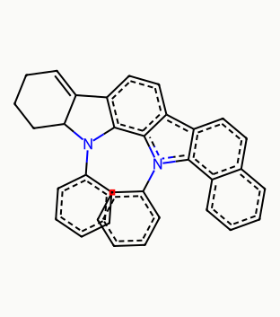 C1=C2c3ccc4c5ccc6ccccc6c5n(-c5ccccc5)c4c3N(c3ccccc3)C2CCC1